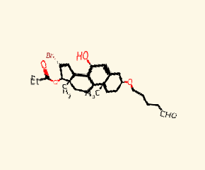 CCC(=O)OC1[C@H](Br)CC2C3C(CC[C@@]21C)[C@@]1(C)CC[C@H](OCCCCC=O)CC1=C[C@@H]3O